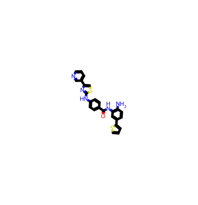 Nc1ccc(-c2cccs2)cc1NC(=O)c1ccc(Nc2nc(-c3cccnc3)cs2)cc1